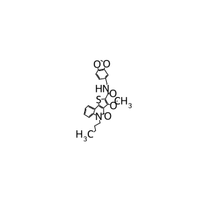 CCCCn1c(=O)c2c(OC)c(C(=O)NCc3ccc4c(c3)OCO4)sc2c2ccccc21